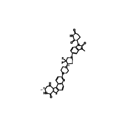 C[C@@H]1CNc2c(sc3ccc4nc(N5CCN([C@@H]6CCN(c7ccc8c(c7)n(C)c(=O)n8C7CCC(=O)NC7=O)CC6(F)F)CC5)ccc4c23)C(=O)N1